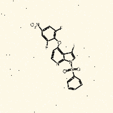 O=[N+]([O-])c1cc(F)c(Oc2ccnc3c2c(I)cn3S(=O)(=O)c2ccccc2)c(F)c1